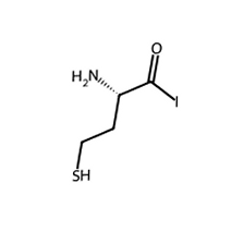 N[C@@H](CCS)C(=O)I